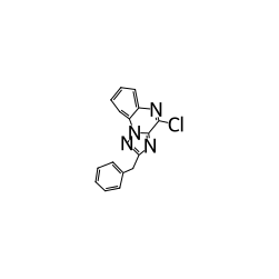 Clc1nc2ccccc2n2nc(Cc3ccccc3)nc12